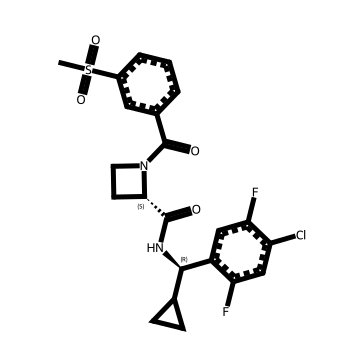 CS(=O)(=O)c1cccc(C(=O)N2CC[C@H]2C(=O)N[C@@H](c2cc(F)c(Cl)cc2F)C2CC2)c1